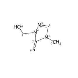 Cn1cnn(CO)c1=S